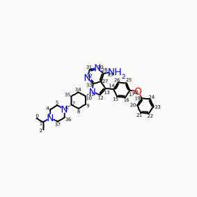 CC(C)N1CCN([C@H]2CC[C@@H](n3cc(-c4ccc(Oc5ccccc5)cc4)c4c(N)ncnc43)CC2)CC1